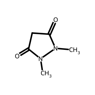 CN1C(=O)CC(=O)N1C